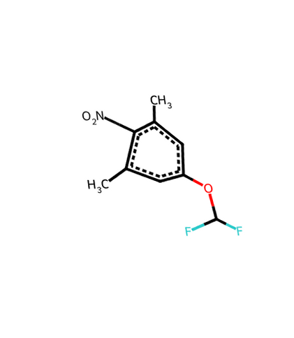 Cc1cc(OC(F)F)cc(C)c1[N+](=O)[O-]